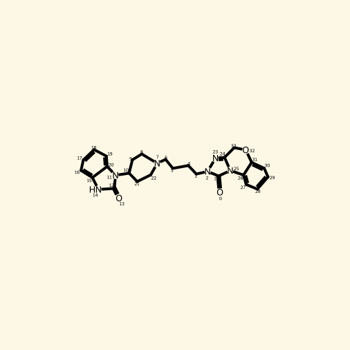 O=c1n(CCCCN2CCC(n3c(=O)[nH]c4ccccc43)CC2)nc2n1-c1ccccc1OC2